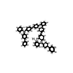 CC1C=C(C2=CC=C(c3ccccc3-c3ccc(-c4ccc(N(c5ccccc5)c5ccc(-c6ccccc6)cc5)cc4)cc3)CC2)CCC1N(C1=CC=C(c2ccccc2)CC1)c1ccccc1